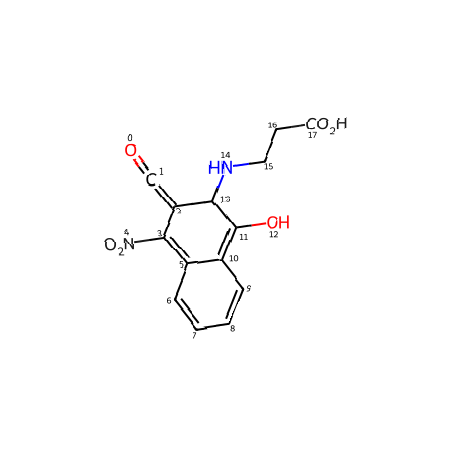 O=C=C1C([N+](=O)[O-])=c2ccccc2=C(O)C1NCCC(=O)O